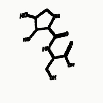 O=C(O)C(CO)NC(=O)C1NCC(O)C1O